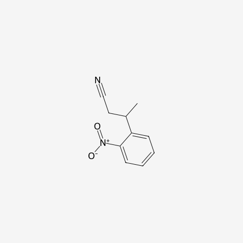 CC(CC#N)c1ccccc1[N+](=O)[O-]